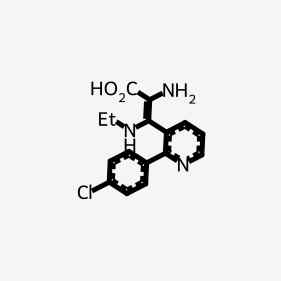 CCN/C(=C(/N)C(=O)O)c1cccnc1-c1ccc(Cl)cc1